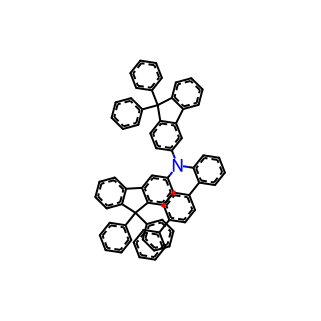 c1ccc(-c2ccc(-c3ccccc3N(c3ccc4c(c3)-c3ccccc3C4(c3ccccc3)c3ccccc3)c3ccc4c(c3)-c3ccccc3C4(c3ccccc3)c3ccccc3)cc2)cc1